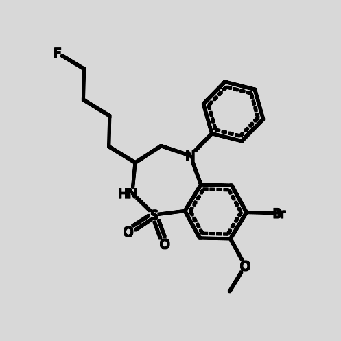 COc1cc2c(cc1Br)N(c1ccccc1)CC(CCCCF)NS2(=O)=O